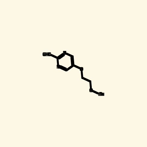 CC(C)(C)OCCOc1cnc(C=O)nc1